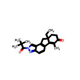 CCC12CCC(=O)C(C)=C1c1ccc3nn(C(=O)C(C)(C)C)cc3c1C2